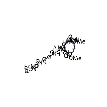 COc1cc2cc(c1Cl)N(C)C(=O)C[C@H](OC(=O)[C@H](CCCCNC(=O)CCOCCOCCNC(=O)c1ccc3nc(CBr)c(CBr)nc3c1)N(C)C(C)=O)[C@]1(C)O[C@H]1[C@H](C)[C@@H]1C[C@@](O)(NC(=O)O1)[C@H](OC)/C=C/C=C(\C)C2